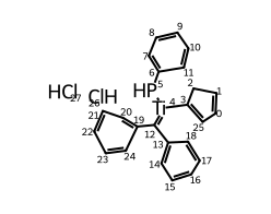 C1=CC[C]([Ti]([PH]c2ccccc2)=[C](c2ccccc2)c2ccccc2)=C1.Cl.Cl